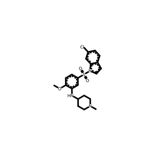 COc1ccc(S(=O)(=O)n2ccc3ccc(Cl)cc32)cc1NC1CCN(C)CC1